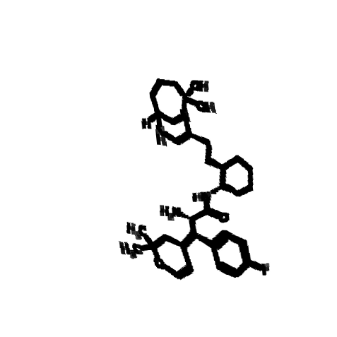 CC1(C)C[C@@H]([C@H](c2ccc(F)cc2)[C@H](N)C(=O)N[C@H]2CCCC[C@@H]2CC[C@H]2CN[C@@H]3CCCS(O)(O)N2C3)CCO1